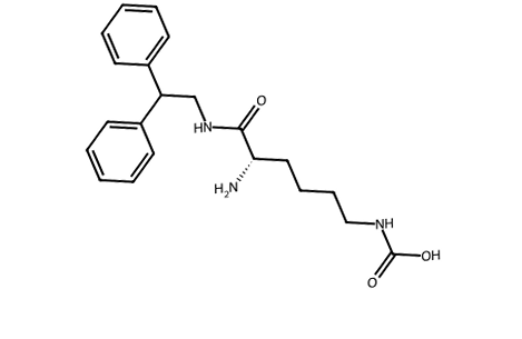 N[C@@H](CCCCNC(=O)O)C(=O)NCC(c1ccccc1)c1ccccc1